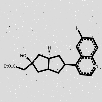 CCOC(=O)C[C@@]1(O)CC2C[C@H](c3ccnc4ccc(F)cc34)C[C@@H]2C1